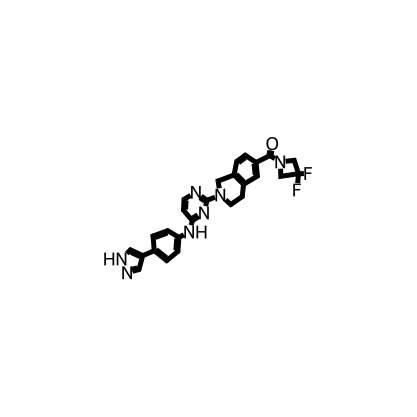 O=C(c1ccc2c(c1)CCN(c1nccc(Nc3ccc(-c4cn[nH]c4)cc3)n1)C2)N1CC(F)(F)C1